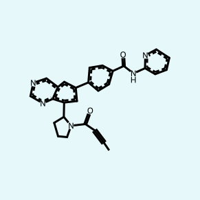 CC#CC(=O)N1CCCC1c1cc(-c2ccc(C(=O)Nc3ccccn3)cc2)cc2cncnc12